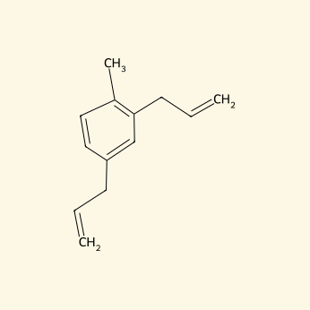 C=CCc1ccc(C)c(CC=C)c1